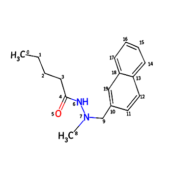 CCCCC(=O)NN(C)Cc1ccc2ccccc2c1